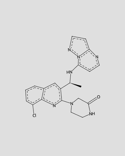 C[C@H](Nc1ccnc2ccnn12)c1cc2cccc(Cl)c2nc1N1CCNC(=O)C1